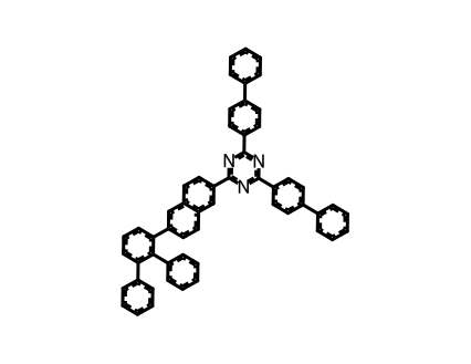 c1ccc(-c2ccc(-c3nc(-c4ccc(-c5ccccc5)cc4)nc(-c4ccc5cc(-c6cccc(-c7ccccc7)c6-c6ccccc6)ccc5c4)n3)cc2)cc1